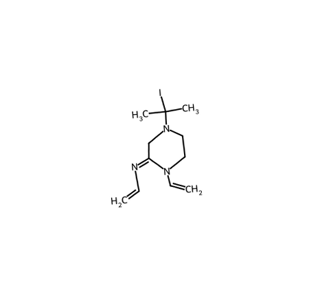 C=C/N=C1/CN(C(C)(C)I)CCN1C=C